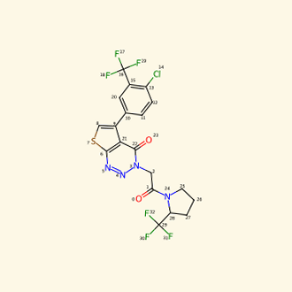 O=C(Cn1nnc2scc(-c3ccc(Cl)c(C(F)(F)F)c3)c2c1=O)N1CCCC1C(F)(F)F